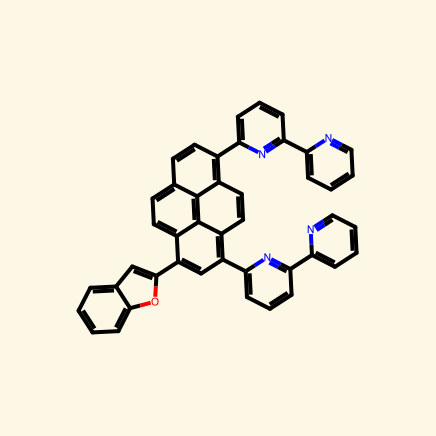 c1ccc(-c2cccc(-c3ccc4ccc5c(-c6cc7ccccc7o6)cc(-c6cccc(-c7ccccn7)n6)c6ccc3c4c65)n2)nc1